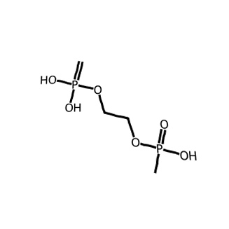 C=P(O)(O)OCCOP(C)(=O)O